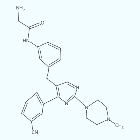 CN1CCN(c2ncc(Sc3cccc(NC(=O)CN)c3)c(-c3cccc(C#N)c3)n2)CC1